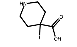 O=C(O)C1(I)CCNCC1